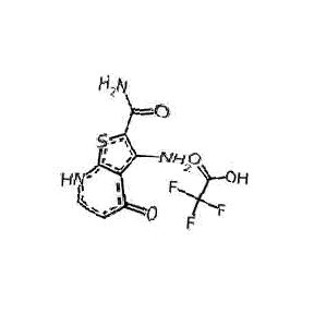 NC(=O)c1sc2[nH]ccc(=O)c2c1N.O=C(O)C(F)(F)F